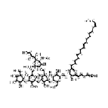 CCCCCCCC/C=C\CCCCCCCCCCCCCCCC(=O)N[C@@H](CO[C@@H]1OC(CO)[C@@H](O[C@@H]2OC(CO)[C@H](O)[C@H](O[C@@H]3OC(CO[C@]4(C(=O)O)CC(O)[C@@H](NC(C)=O)C([C@H](O)[C@H](O)CO)O4)[C@@H](O)[C@H](O[C@@H]4OC(CO)[C@H](O)[C@H](O)C4O)C3NC(C)=O)C2O)[C@H](O)C1O)[C@H](O)/C=C/CCCCCCCCCCCCC